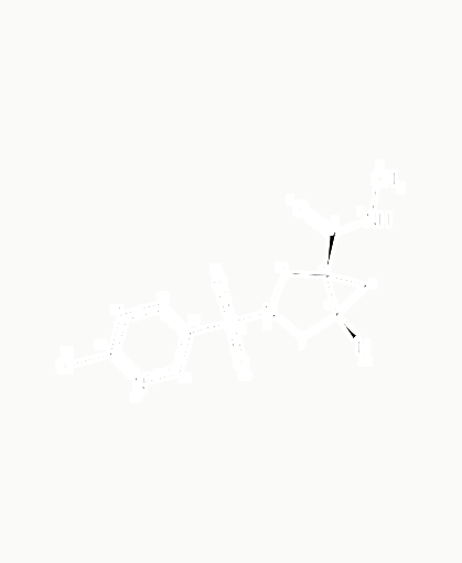 CNC(=O)[C@@]12C[C@@H]1CN(S(=O)(=O)c1ccc(Cl)nc1)C2